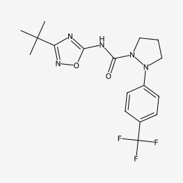 CC(C)(C)c1noc(NC(=O)N2CCCN2c2ccc(C(F)(F)F)cc2)n1